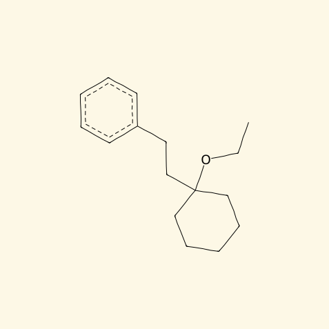 CCOC1(CCc2ccccc2)CCCCC1